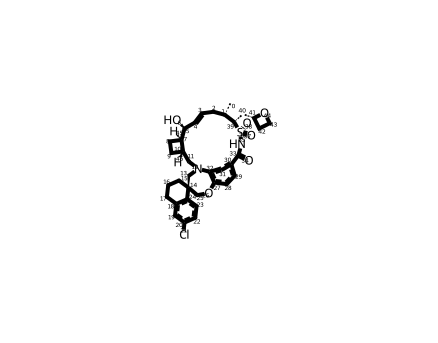 C[C@H]1C/C=C/[C@H](O)[C@@H]2CC[C@H]2CN2C[C@@]3(CCCc4cc(Cl)ccc43)COc3ccc(cc32)C(=O)NS(=O)(=O)[C@H]1C[C@H]1CCO1